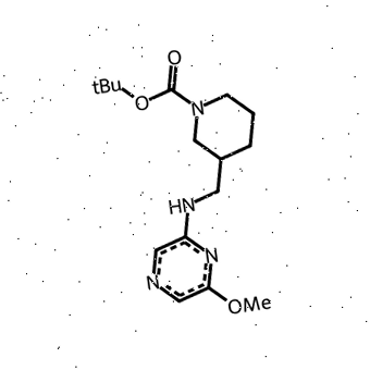 COc1cncc(NCC2CCCN(C(=O)OC(C)(C)C)C2)n1